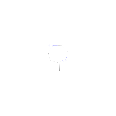 CC1=NCCNCC1